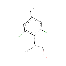 CSc1cc(Cl)c(C(CO)[N+](=O)[O-])c(Cl)c1